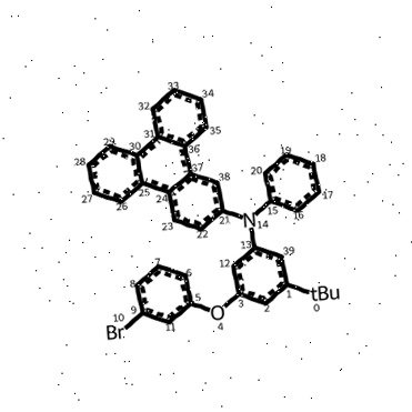 CC(C)(C)c1cc(Oc2cccc(Br)c2)cc(N(c2ccccc2)c2ccc3c4ccccc4c4ccccc4c3c2)c1